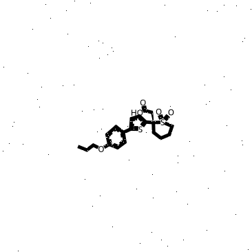 CCCOc1ccc(-c2ccc([C@@]3(CC(=O)O)CCCCS3(=O)=O)s2)cc1